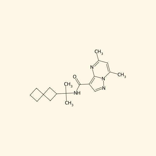 Cc1cc(C)n2ncc(C(=O)NC(C)(C)C3CC4(CCC4)C3)c2n1